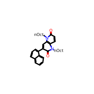 CCCCCCCCn1c(=O)ccc2c1cc(-c1cccc3ccccc13)c(=O)n2CCCCCCCC